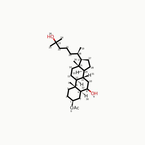 CC(=O)O[C@H]1CC[C@@]2(C)[C@H](C1)C(O)C[C@@H]1[C@@H]2CC[C@]2(C)[C@@H]([C@H](C)CCCC(C)(C)O)CC[C@@H]12